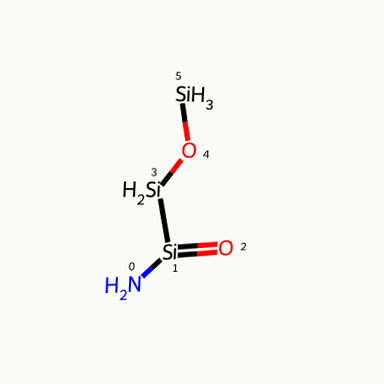 N[Si](=O)[SiH2]O[SiH3]